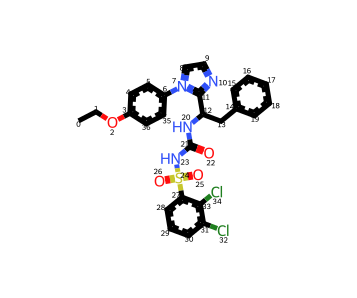 CCOc1ccc(-n2ccnc2C(Cc2ccccc2)NC(=O)NS(=O)(=O)c2cccc(Cl)c2Cl)cc1